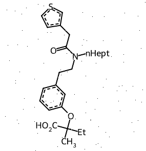 CCCCCCCN(CCc1cccc(OC(C)(CC)C(=O)O)c1)C(=O)Cc1ccsc1